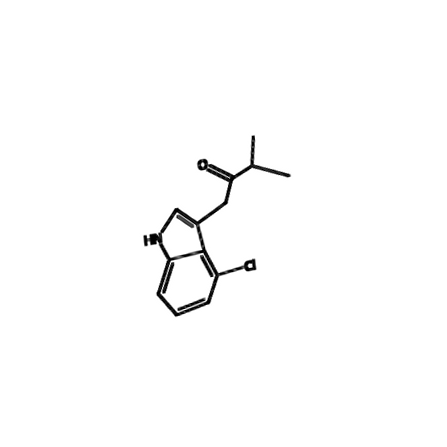 CC(C)C(=O)Cc1c[nH]c2cccc(Cl)c12